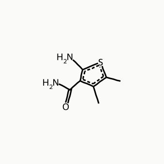 Cc1sc(N)c(C(N)=O)c1C